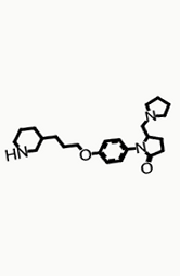 O=C1CCC(CN2CCCC2)N1c1ccc(OCCCC2CCCNC2)cc1